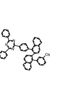 N#Cc1cccc(-c2c(-c3ccc4ccccc4c3-c3ccc(-c4nc(-c5ccccc5)nc(-c5ccccc5)n4)cc3)ccc3ccccc23)c1